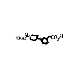 CC(C)(C)OC(=O)N1CCC(c2cccc(CC(=O)O)c2)CC1